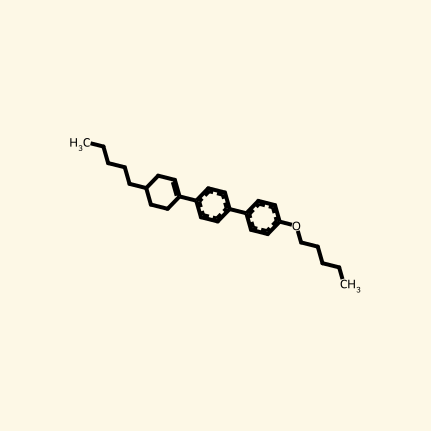 CCCCCOc1ccc(-c2ccc(C3=CCC(CCCCC)CC3)cc2)cc1